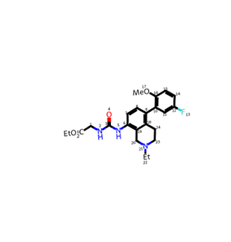 CCOC(=O)CNC(=O)Nc1ccc(-c2cc(F)ccc2OC)c2c1CN(CC)CC2